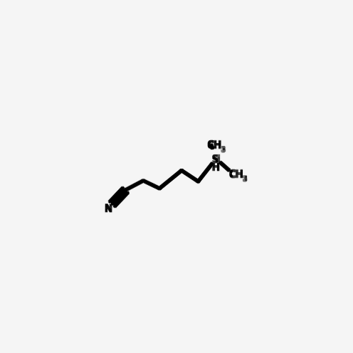 C[SiH](C)CCCCC#N